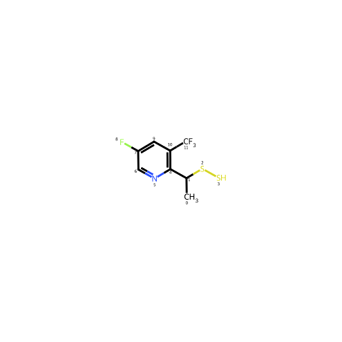 CC(SS)c1ncc(F)cc1C(F)(F)F